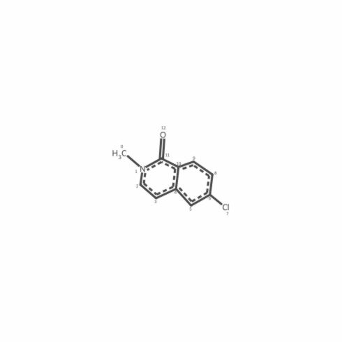 Cn1ccc2cc(Cl)ccc2c1=O